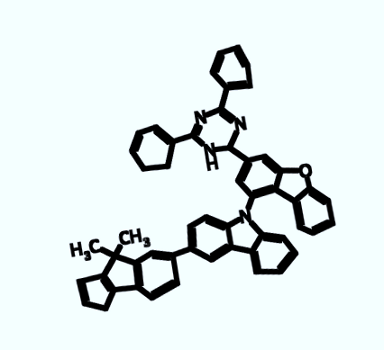 CC1(C)C2=C(CC=C2)c2ccc(-c3ccc4c(c3)c3ccccc3n4-c3cc(C4N=C(c5ccccc5)N=C(C5=CC=CCC5)N4)cc4oc5ccccc5c34)cc21